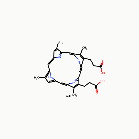 CC1=Cc2cc3[nH]c(cc4nc(cc5[nH]c(cc1n2)c(C)c5CCC(=O)O)C(CCC(=O)O)=C4C)cc3C.[AsH3]